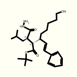 CC(C)C[C@@H](C(=O)NN)[C@@H](C(=O)OC(C)(C)C)C(/C=C/c1ccccc1)CCCCCO